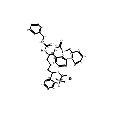 CCOC(OC(CCCN(NC(=O)OCc1ccccc1)C(NC(=O)OCc1ccccc1)c1ccccc1)c1ccccc1)[Si](C)(C)C